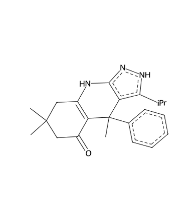 CC(C)c1[nH]nc2c1C(C)(c1ccccc1)C1=C(CC(C)(C)CC1=O)N2